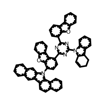 C1=Cc2c(c3ccccc3n2-c2nc(-c3cccc4c3oc3ccccc34)nc(-c3ccc(-n4c5cc6ccccc6cc5c5ccc6ccccc6c54)c4oc5ccccc5c34)n2)CC1